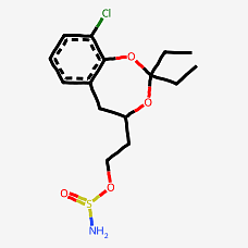 CCC1(CC)Oc2c(Cl)cccc2CC(CCOS(N)=O)O1